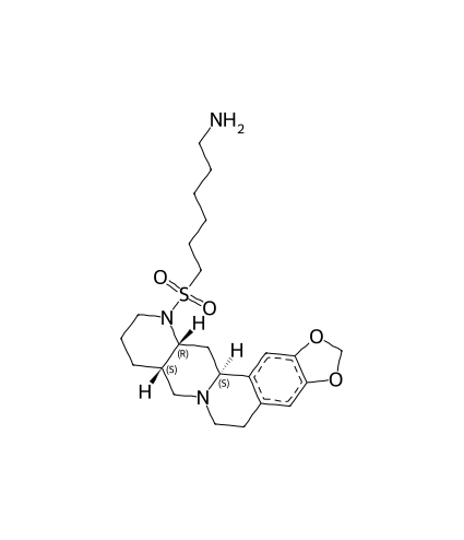 NCCCCCCS(=O)(=O)N1CCC[C@H]2CN3CCc4cc5c(cc4[C@@H]3C[C@H]21)OCO5